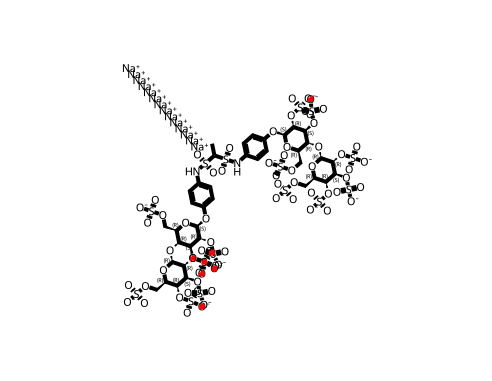 CC(S(=O)(=O)Nc1ccc(O[C@@H]2O[C@H](COS(=O)(=O)[O-])[C@@H](O[C@H]3O[C@H](COS(=O)(=O)[O-])[C@@H](OS(=O)(=O)[O-])[C@H](OS(=O)(=O)[O-])[C@H]3OS(=O)(=O)[O-])[C@H](OS(=O)(=O)[O-])[C@H]2OS(=O)(=O)[O-])cc1)S(=O)(=O)Nc1ccc(O[C@@H]2O[C@H](COS(=O)(=O)[O-])[C@@H](O[C@H]3O[C@H](COS(=O)(=O)[O-])[C@@H](OS(=O)(=O)[O-])[C@H](OS(=O)(=O)[O-])[C@H]3OS(=O)(=O)[O-])[C@H](OS(=O)(=O)[O-])[C@H]2OS(=O)(=O)[O-])cc1.[Na+].[Na+].[Na+].[Na+].[Na+].[Na+].[Na+].[Na+].[Na+].[Na+].[Na+].[Na+].[Na+].[Na+]